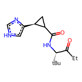 CCC(=O)[C@@H](NC(=O)C1C[C@@H]1c1c[nH]cn1)C(C)(C)C